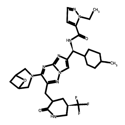 CCn1nccc1C(=O)N[C@H](c1cn2nc(CC3C[C@@H](C(F)(F)F)CNC3=O)c(N3CC4CC(C3)O4)nc2n1)C1CCC(C)CC1